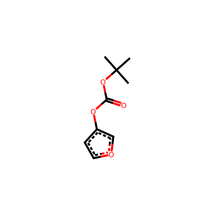 CC(C)(C)OC(=O)Oc1ccoc1